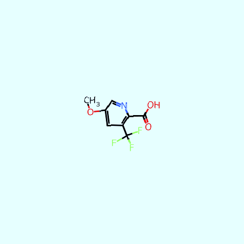 COc1cnc(C(=O)O)c(C(F)(F)F)c1